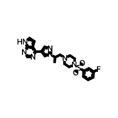 CC(CN1CCN(S(=O)(=O)c2cccc(F)c2)CC1)n1cc(-c2ncnc3[nH]ccc23)cn1